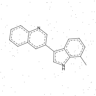 Cc1cccc2c(-c3cnc4ccccc4c3)c[nH]c12